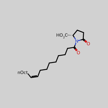 CCCCCCCC/C=C\CCCCCCCC(=O)N1C(=O)CC[C@H]1C(=O)O